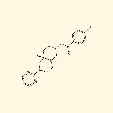 O=C(C[C@H]1CC[C@H]2CN(c3ncccn3)CCN2C1)c1ccc(F)cc1